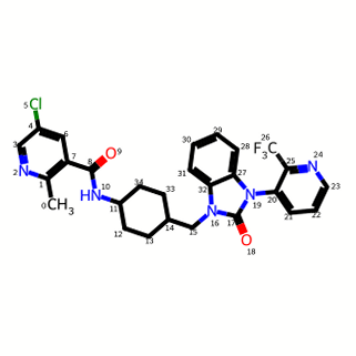 Cc1ncc(Cl)cc1C(=O)NC1CCC(Cn2c(=O)n(-c3cccnc3C(F)(F)F)c3ccccc32)CC1